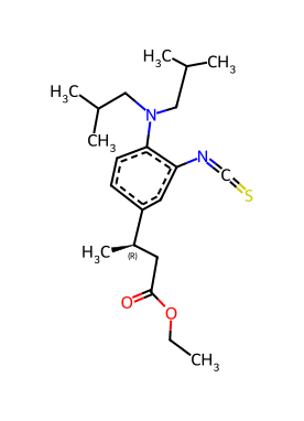 CCOC(=O)C[C@@H](C)c1ccc(N(CC(C)C)CC(C)C)c(N=C=S)c1